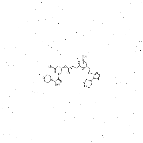 CC(C)(C)NC[C@@H](COc1nsnc1N1CCOCC1)OC(=O)CCC(=O)O[C@@H](CNC(C)(C)C)COc1nsnc1N1CCOCC1